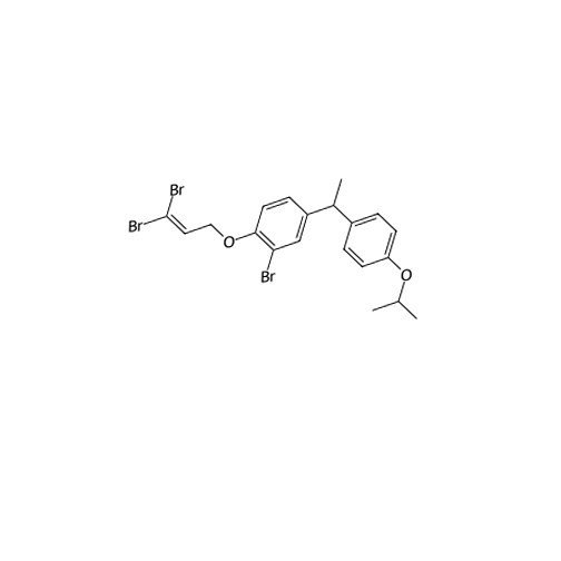 CC(C)Oc1ccc(C(C)c2ccc(OCC=C(Br)Br)c(Br)c2)cc1